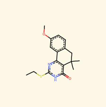 CCSc1nc2c(c(=O)[nH]1)C(C)(C)Cc1ccc(OC)cc1-2